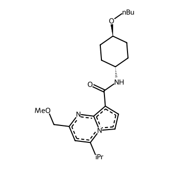 CCCCO[C@H]1CC[C@H](NC(=O)c2ccn3c(C(C)C)cc(COC)nc23)CC1